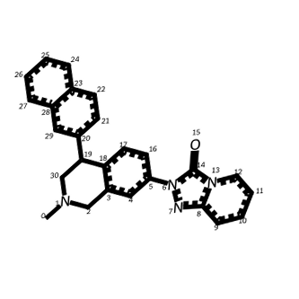 CN1Cc2cc(-n3nc4ccccn4c3=O)ccc2C(c2ccc3ccccc3c2)C1